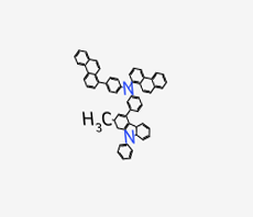 CC1C=C(c2cccc(N(c3ccc(-c4cccc5c4ccc4ccccc45)cc3)c3cccc4c3ccc3ccccc34)c2)C2=C(C1)N(c1ccccc1)C1C=CC=CC21